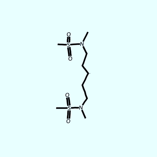 CN(CC[CH]CCN(C)S(C)(=O)=O)S(C)(=O)=O